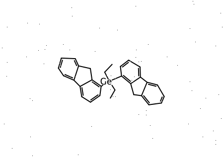 C[CH2][Ge]([CH2]C)([c]1cccc2c1Cc1ccccc1-2)[c]1cccc2c1Cc1ccccc1-2